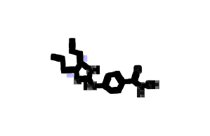 C=C/C=c1/nc(Nc2ccc(C(=O)NO)cc2)[nH]/c1=C/C=C